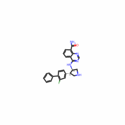 NC(=O)c1cccc2c(N[C@H]3CNC[C@@H]3c3ccc(-c4ccccc4)c(F)c3)ncnc12